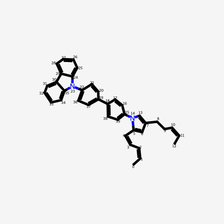 C/C=C\C=C/c1cc(CC/C=C\C)cn1-c1ccc(-c2ccc(-n3c4ccccc4c4ccccc43)cc2)cc1